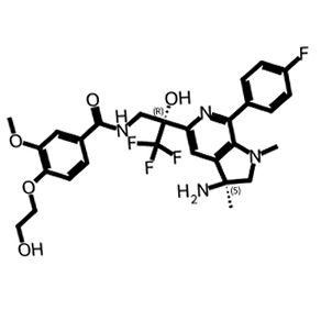 COc1cc(C(=O)NC[C@@](O)(c2cc3c(c(-c4ccc(F)cc4)n2)N(C)C[C@@]3(C)N)C(F)(F)F)ccc1OCCO